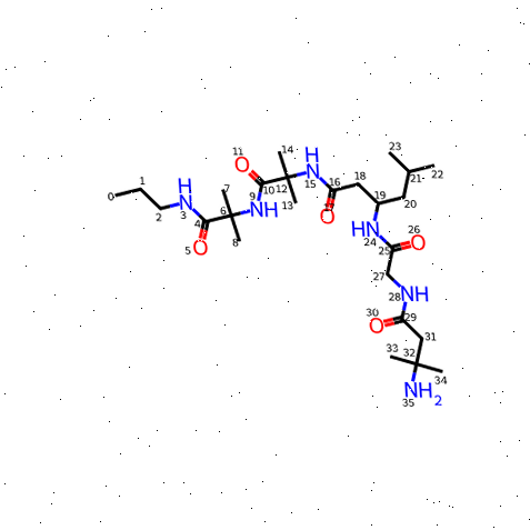 CCCNC(=O)C(C)(C)NC(=O)C(C)(C)NC(=O)CC(CC(C)C)NC(=O)CNC(=O)CC(C)(C)N